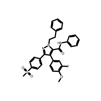 COc1ccc(-c2c(-c3ccc(S(C)(=O)=O)cc3)nn(CCc3ccccc3)c2C(=O)Nc2ccccc2)cc1F